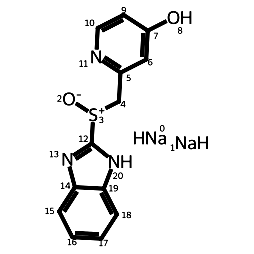 [NaH].[NaH].[O-][S+](Cc1cc(O)ccn1)c1nc2ccccc2[nH]1